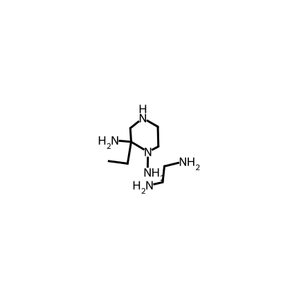 CCC1(N)CNCCN1N.NCCN